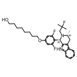 C[C@@H]1Cc2c([nH]c3ccccc23)[C@@H](c2c(F)cc(OCCCCCCCCO)cc2F)N1CC(C)(C)F